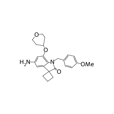 COc1ccc(CN2C(=O)C3(CCC3)c3cc(N)cc(OC4CCOCC4)c32)cc1